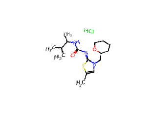 Cc1cn(CC2CCCCO2)/c(=N/C(=O)NC(C)C(C)C)s1.Cl